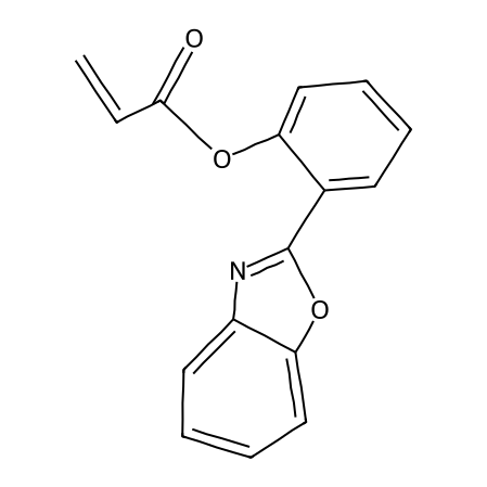 C=CC(=O)Oc1ccccc1-c1nc2ccccc2o1